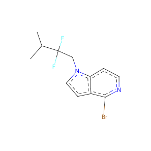 CC(C)C(F)(F)Cn1ccc2c(Br)nccc21